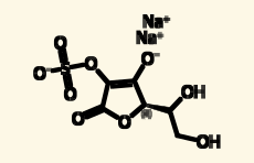 O=C1O[C@H](C(O)CO)C([O-])=C1OS(=O)(=O)[O-].[Na+].[Na+]